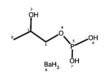 CC(O)COP(O)O.[BaH2]